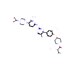 COc1nc(Nc2ncc(C)c(-c3ccc(OC4CCN(C(=O)[C@H](O)C(F)F)CC4)c(C#N)c3)n2)ccc1N1CCN(C2COC2)CC1